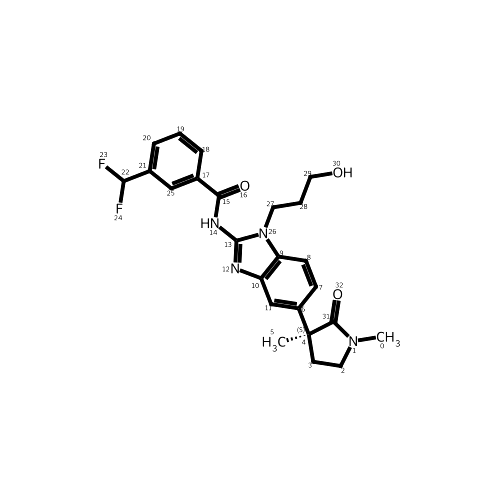 CN1CC[C@@](C)(c2ccc3c(c2)nc(NC(=O)c2cccc(C(F)F)c2)n3CCCO)C1=O